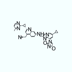 Cc1ccnc([C@H]2C[C@@H]2c2cc(CC#N)c3ccc(NCc4cn5cc(C6CC6)cc(N6CC(=O)N(C)C6=O)c5n4)cc3n2)n1